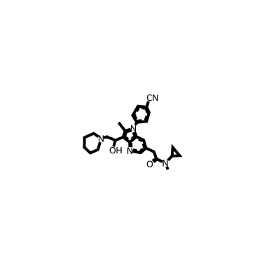 Cc1c(C(O)CN2CCCCC2)c2ncc(CC(=O)N(C)C3CC3)cc2n1-c1ccc(C#N)cc1